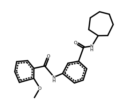 COc1ccccc1C(=O)Nc1cccc(C(=O)NC2CCCCCC2)c1